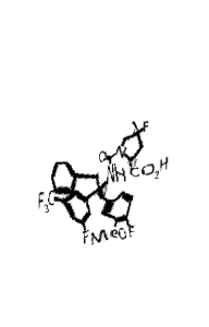 COc1cc([C@@](Cc2ccccc2)(NC(=O)N2C[C@](C)(F)C[C@H]2C(=O)O)c2cc(F)cc(C(F)(F)F)c2)ccc1F